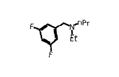 CCCN(CC)Cc1cc(F)cc(F)c1